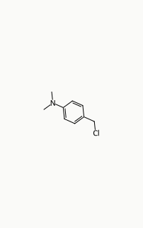 CN(C)c1ccc(CCl)cc1